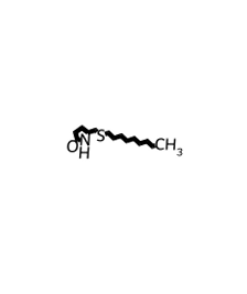 CCCCCCCCCSCC1CCC(=O)N1